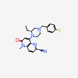 CC[C@H]1CN(Cc2ccc(F)cc2)CCN1c1cc(=O)n(C)c2ccc(C#N)nc12